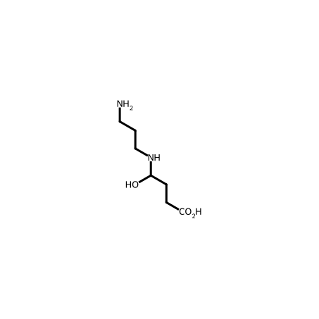 NCCCNC(O)CCC(=O)O